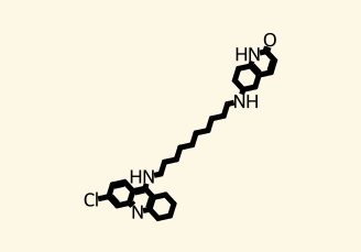 O=c1ccc2c([nH]1)CCC(NCCCCCCCCCCNc1c3c(nc4cc(Cl)ccc14)CCCC3)C2